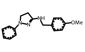 COc1ccc(CNC2=NN(c3ccccc3)CC2)cc1